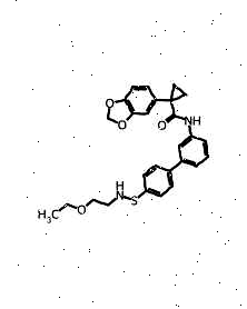 CCOCCNSc1ccc(-c2cccc(NC(=O)C3(c4ccc5c(c4)OCO5)CC3)c2)cc1